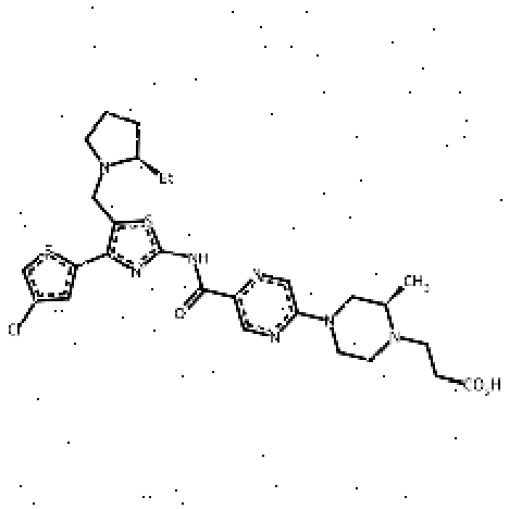 CC[C@@H]1CCCN1Cc1sc(NC(=O)c2cnc(N3CCN(CCC(=O)O)[C@H](C)C3)cn2)nc1-c1cc(Cl)cs1